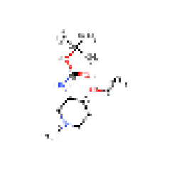 CCO[C@@H]1CCN(C)C[C@@H]1NC(=O)OC(C)(C)C